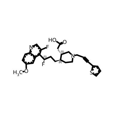 COc1ccc2ncc(F)c([C@@H](F)CC[C@@H]3CCN(CC#Cc4cccs4)C[C@H]3CC(=O)O)c2c1